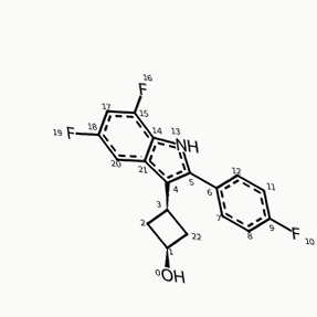 O[C@H]1C[C@@H](c2c(-c3ccc(F)cc3)[nH]c3c(F)cc(F)cc32)C1